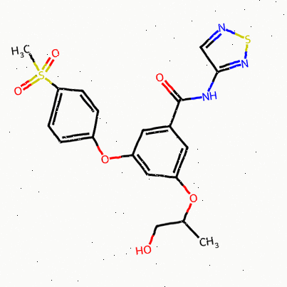 CC(CO)Oc1cc(Oc2ccc(S(C)(=O)=O)cc2)cc(C(=O)Nc2cnsn2)c1